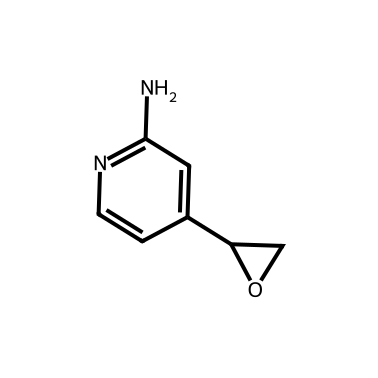 Nc1cc(C2CO2)ccn1